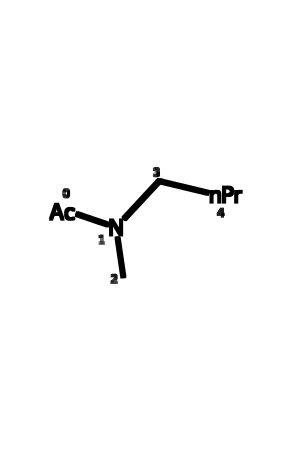 [CH2]C(=O)N(C)CCCC